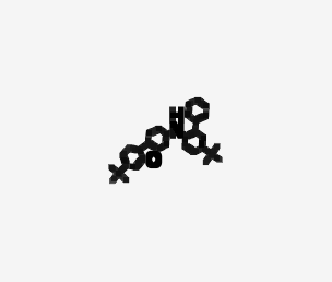 CC(C)(C)c1ccc(Nc2ccc3c(c2)oc2cc(C(C)(C)C)ccc23)c(-c2ccccc2)c1